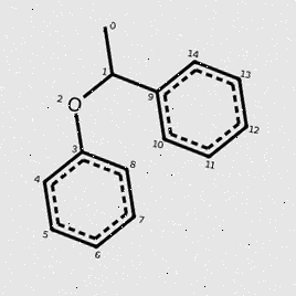 [CH2]C(Oc1ccccc1)c1ccccc1